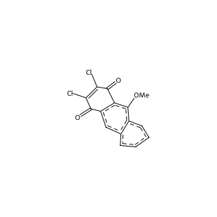 COc1c2c(cc3ccccc13)C(=O)C(Cl)=C(Cl)C2=O